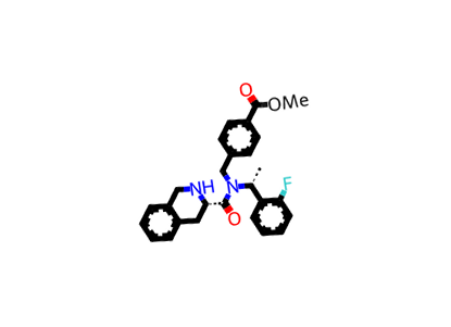 COC(=O)c1ccc(CN(C(=O)[C@@H]2Cc3ccccc3CN2)[C@H](C)c2ccccc2F)cc1